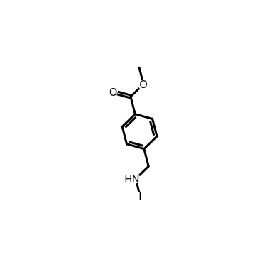 COC(=O)c1ccc(CNI)cc1